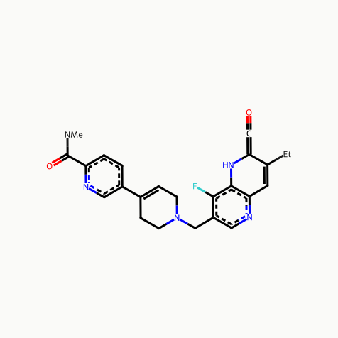 CCC1=Cc2ncc(CN3CC=C(c4ccc(C(=O)NC)nc4)CC3)c(F)c2NC1=C=O